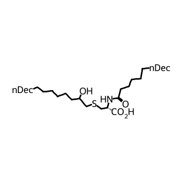 CCCCCCCCCCCCCCCCC(O)CSC[C@H](NC(=O)CCCCCCCCCCCCCCC)C(=O)O